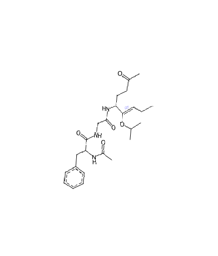 CC/C=C(\OC(C)C)C(CCC(C)=O)NC(=O)CNC(=O)C(Cc1ccccc1)NC(C)=O